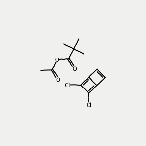 CC(=O)OC(=O)C(C)(C)C.Clc1c2ccc-2c1Cl